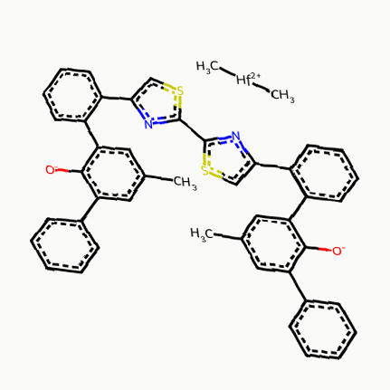 Cc1cc(-c2ccccc2)c([O-])c(-c2ccccc2-c2csc(-c3nc(-c4ccccc4-c4cc(C)cc(-c5ccccc5)c4[O-])cs3)n2)c1.[CH3][Hf+2][CH3]